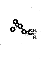 C=C/C=c1/oc2ccc(-c3ccc4c5ccccc5n(-c5ccccc5)c4c3)cc2/c1=C/C